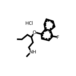 CCCC(CCNC)Oc1ccc(F)c2ccccc12.Cl